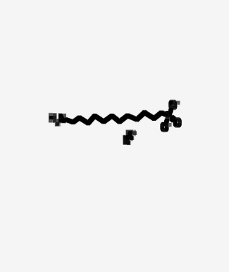 NCCCCCCCCCCCCP(=O)([O-])[O-].[K+].[K+]